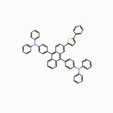 c1ccc(-c2ccc(-c3ccc4c(-c5ccc(N(c6ccccc6)c6ccccc6)cc5)c5ccccc5c(-c5ccc(N(c6ccccc6)c6ccccc6)cc5)c4c3)s2)cc1